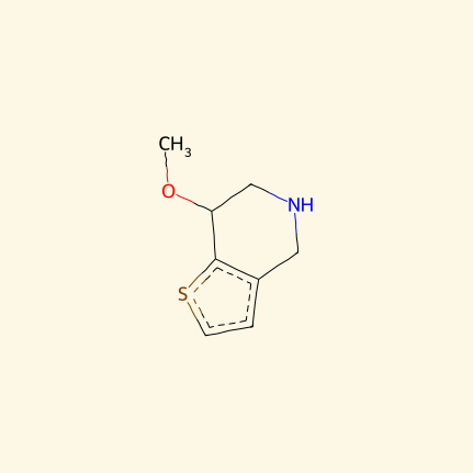 COC1CNCc2ccsc21